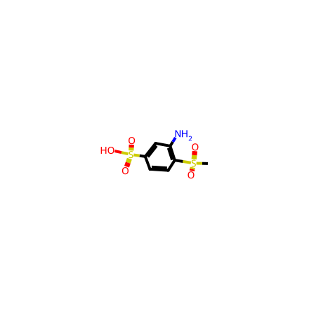 CS(=O)(=O)c1ccc(S(=O)(=O)O)cc1N